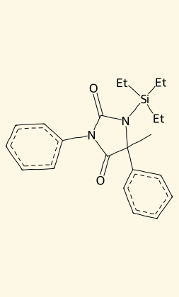 CC[Si](CC)(CC)N1C(=O)N(c2ccccc2)C(=O)C1(C)c1ccccc1